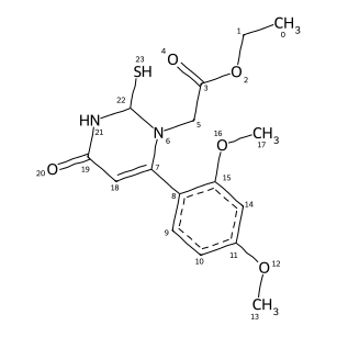 CCOC(=O)CN1C(c2ccc(OC)cc2OC)=CC(=O)NC1S